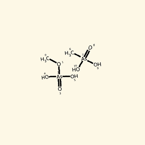 CO[As](=O)(O)O.C[As](=O)(O)O